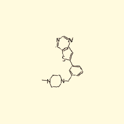 CN1CCN(Cc2cccc(-c3cc4ncn[c]c4s3)c2)CC1